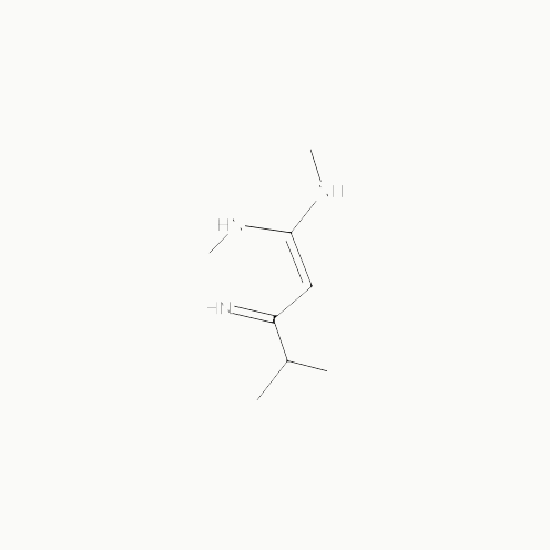 CNC(=CC(=N)C(C)C)NC